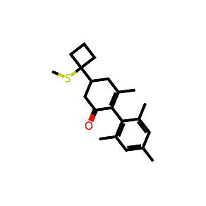 CSC1(C2CC(=O)C(c3c(C)cc(C)cc3C)=C(C)C2)CCC1